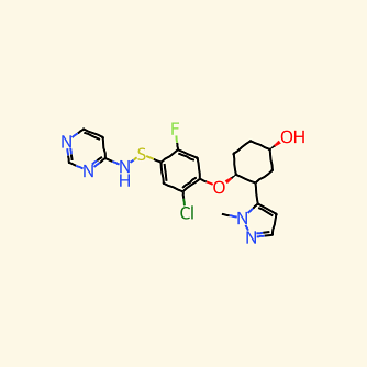 Cn1nccc1C1C[C@H](O)CC[C@@H]1Oc1cc(F)c(SNc2ccncn2)cc1Cl